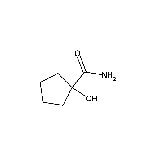 NC(=O)C1(O)CCCC1